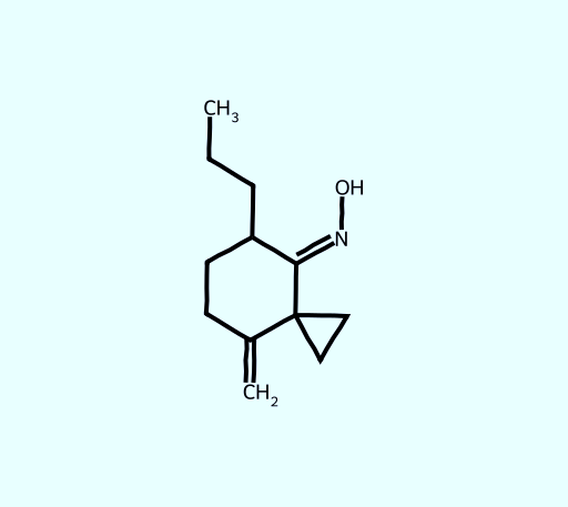 C=C1CCC(CCC)/C(=N\O)C12CC2